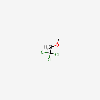 CO[SiH2]C(Cl)(Cl)Cl